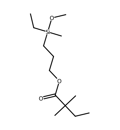 CCC(C)(C)C(=O)OCCC[Si](C)(CC)OC